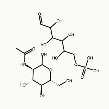 CC(=O)N[C@H]1C(O)O[C@H](CO)[C@@H](O)[C@@H]1O.O=CC(O)C(O)C(O)C(O)COP(=O)(O)O